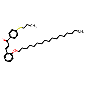 CCCCCCCCCCCCCCCCCOc1ccccc1C=CC(=O)c1ccc(SCCC)cc1